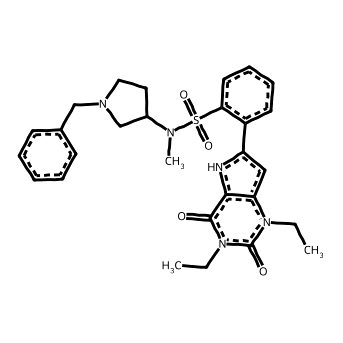 CCn1c(=O)c2[nH]c(-c3ccccc3S(=O)(=O)N(C)C3CCN(Cc4ccccc4)C3)cc2n(CC)c1=O